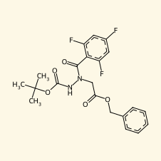 CC(C)(C)OC(=O)NN(CC(=O)OCc1ccccc1)C(=O)c1c(F)cc(F)cc1F